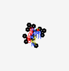 O=C(OC(c1ccccc1)c1ccccc1)C1=C(Sc2nc3ccccc3s2)CS[C@H]2C(NC(=O)/C(=N\OC(c3ccccc3)(c3ccccc3)c3ccccc3)c3csc(NC(c4ccccc4)(c4ccccc4)c4ccccc4)n3)C(=O)N12